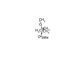 C=CCOCCN(C)C(C)(C)C#CC(=O)SC